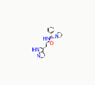 O=C(C=Cc1c[nH]c2ncccc12)N[C@H](CN1CCCC1)c1ccccc1